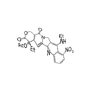 CCNc1c2c(nc3cccc([N+](=O)[O-])c13)-c1cc3c(c(=O)n1C2)COC(=O)[C@@]3(CC)OC(C)=O